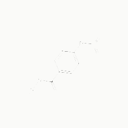 Cl.NNC(=O)c1ccc(N[SH](=O)=O)cc1